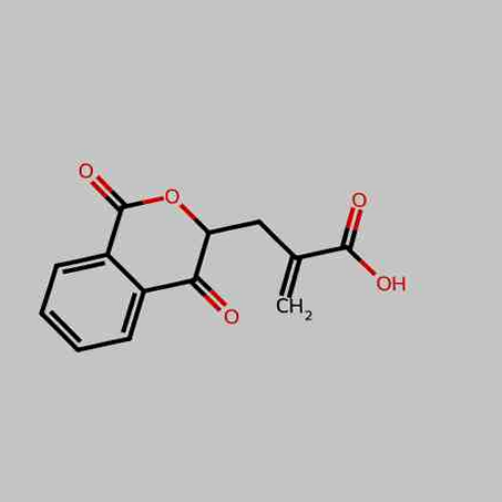 C=C(CC1OC(=O)c2ccccc2C1=O)C(=O)O